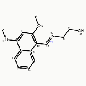 COc1cc(OC)c2ccccc2c1/C=N/CCO